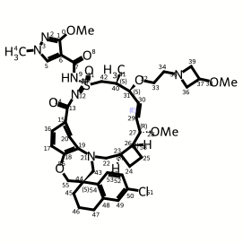 COc1nn(C)cc1C(=O)N[S@@]1(=O)=NC(=O)c2ccc3c(c2)N(C[C@@H]2CC[C@H]2[C@@H](OC)/C=C/[C@H](OCCN2CC(OC)C2)[C@H](C)C1)C[C@@]1(CCCc2cc(Cl)ccc21)CO3